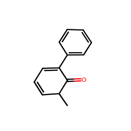 CC1C=CC=C(c2ccccc2)C1=O